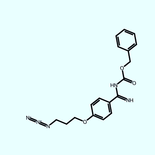 [N-]=[N+]=NCCCOc1ccc(C(=N)NC(=O)OCc2ccccc2)cc1